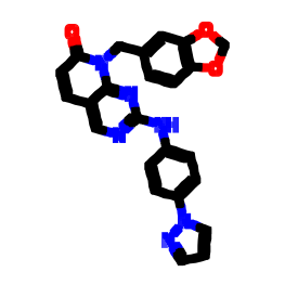 O=c1ccc2cnc(Nc3ccc(-n4cccn4)cc3)nc2n1Cc1ccc2c(c1)OCO2